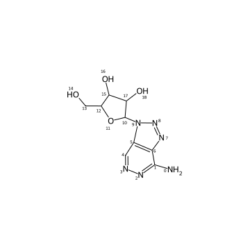 Nc1nncc2c1nnn2C1OC(CO)C(O)C1O